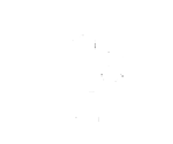 C[C@@H](O)Cn1cc(-c2cnc3[nH]cc(C=CC(N)=O)c3c2)cc(F)c1=O